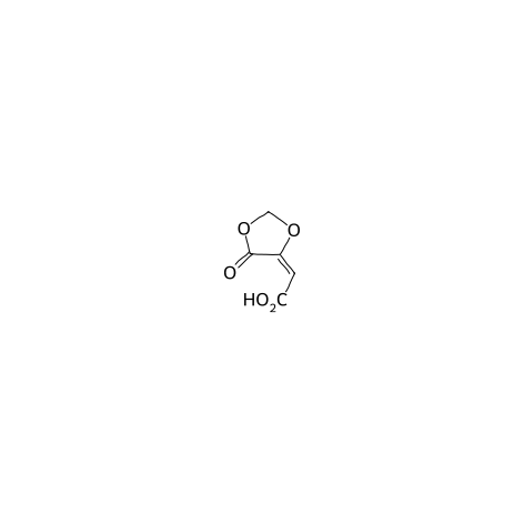 O=C(O)C=C1OCOC1=O